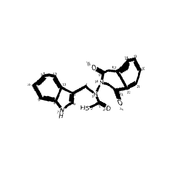 O=C(S)N(Cc1c[nH]c2ccccc12)N1C(=O)c2ccccc2C1=O